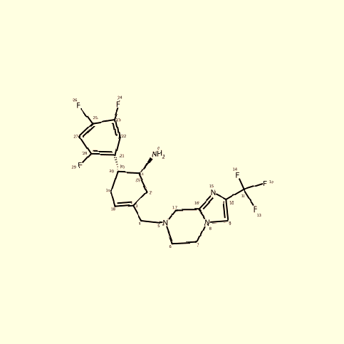 N[C@H]1CC(CN2CCn3cc(C(F)(F)F)nc3C2)=CC[C@@H]1c1cc(F)c(F)cc1F